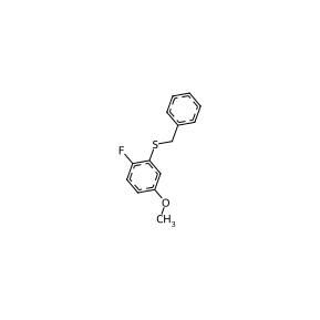 COc1ccc(F)c(SCc2ccccc2)c1